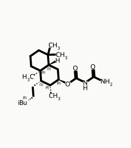 CC[C@@H](C)CC[C@H]1[C@@H](C)[C@H](OC(=O)NC(N)=O)C[C@H]2C(C)(C)CCC[C@]12C